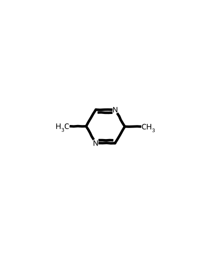 CC1C=NC(C)C=N1